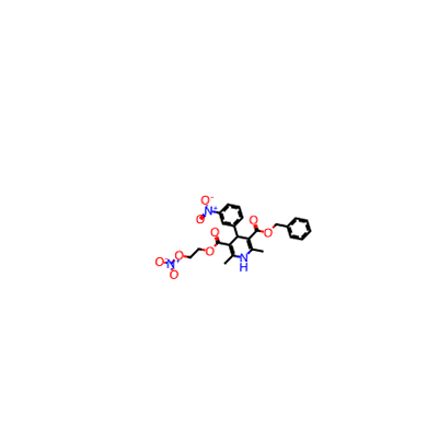 CC1=C(C(=O)OCCO[N+](=O)[O-])C(c2cccc([N+](=O)[O-])c2)C(C(=O)OCc2ccccc2)=C(C)N1